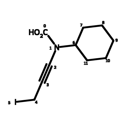 O=C(O)N(C#CCI)C1CCCCC1